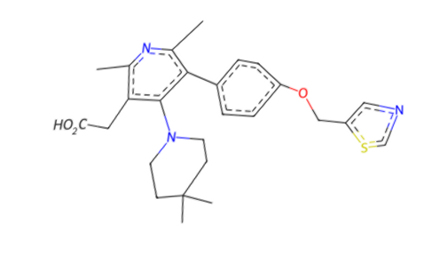 Cc1nc(C)c(-c2ccc(OCc3cncs3)cc2)c(N2CCC(C)(C)CC2)c1CC(=O)O